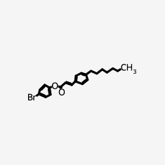 CCCCCCCc1ccc(/C=C/C(=O)Oc2ccc(Br)cc2)cc1